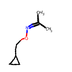 CC(C)=NOCC1CC1